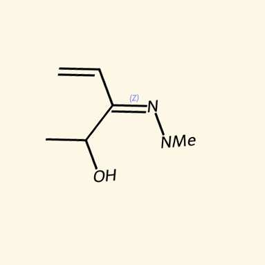 C=C/C(=N/NC)C(C)O